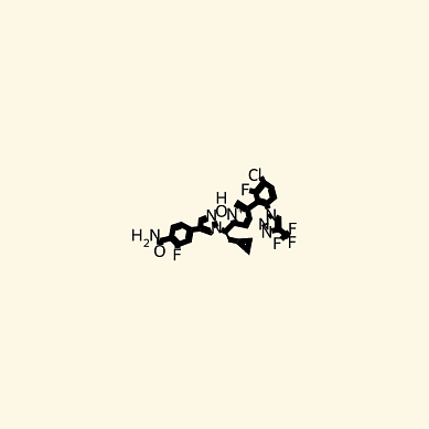 NC(=O)c1ccc(-c2cnn([C@H](CC3CC3)c3ccc(-c4c(-n5cc(C(F)(F)F)nn5)ccc(Cl)c4F)c[n+]3O)c2)cc1F